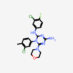 Cc1ccc(N2C(N3CCOCC3)=NC(N)=NC2Nc2ccc(F)c(Cl)c2)cc1Cl